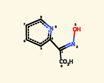 O=C(O)/C(=N/O)c1ccccn1